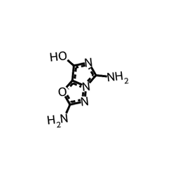 Nc1nn2c(N)nc(O)c2o1